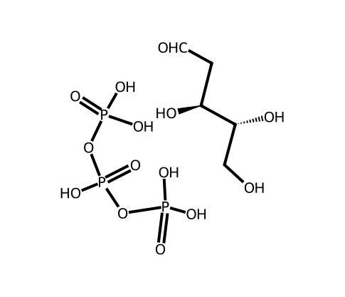 O=CC[C@H](O)[C@H](O)CO.O=P(O)(O)OP(=O)(O)OP(=O)(O)O